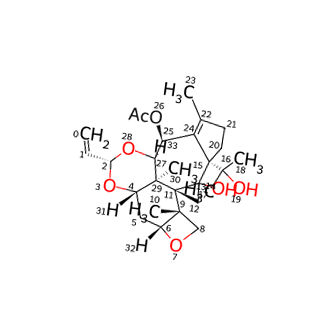 C=C[C@H]1O[C@H]2C[C@H]3OC[C@@]3(C)[C@@]34CC3(O)[C@]3(C(C)(C)O)CCC(C)=C3[C@H](OC(C)=O)[C@H](O1)[C@]24C